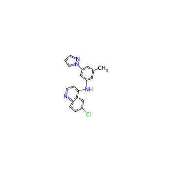 Cc1cc(Nc2ccnc3ccc(Cl)cc23)cc(-n2cccn2)c1